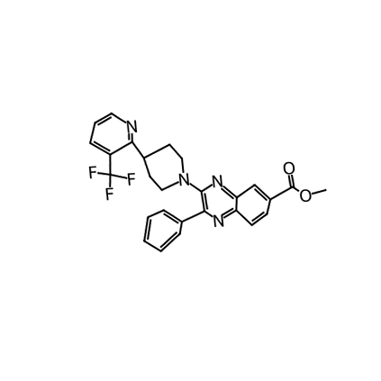 COC(=O)c1ccc2nc(-c3ccccc3)c(N3CCC(c4ncccc4C(F)(F)F)CC3)nc2c1